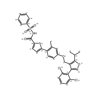 Cc1cc(OCc2c(-c3c(Cl)cccc3Cl)noc2C(C)C)ccc1-c1ccc(C(=O)NS(=O)(=O)c2ccccc2)s1